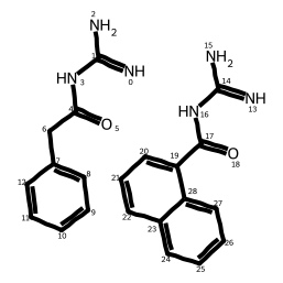 N=C(N)NC(=O)Cc1ccccc1.N=C(N)NC(=O)c1cccc2ccccc12